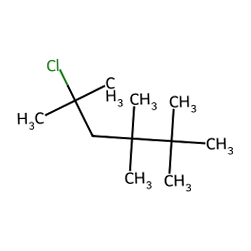 CC(C)(Cl)CC(C)(C)C(C)(C)C